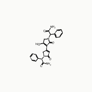 NC(=O)C(c1ccccc1)N1CC(C2=C(O)CN(C(C(N)=O)c3ccccc3)C2=O)=CC1=O